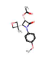 COc1ccc(N2C(=O)[C@@H](OC(C)=O)[C@H]2C2(C)COC2)cc1